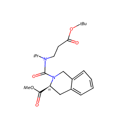 COC(=O)[C@@H]1Cc2ccccc2CN1C(=O)N(CCC(=O)OC(C)(C)C)C(C)C